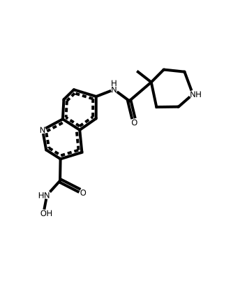 CC1(C(=O)Nc2ccc3ncc(C(=O)NO)cc3c2)CCNCC1